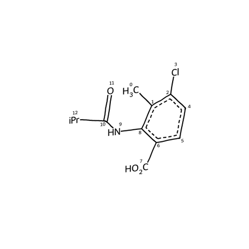 Cc1c(Cl)ccc(C(=O)O)c1NC(=O)C(C)C